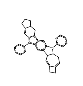 C1=C2CCC2=CC2c3cc4c(cc3N(c3ccccc3)C2C1)c1c(n4-c2ccccc2)C=C2CCCC2C1